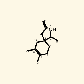 C=CCC1(C(C)O)CCC(C)=C(C)C1